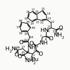 CCC(C)C(C(=O)C(=O)NCC(=O)NC(Cc1ccc2ccccc2c1)C(N)=O)C(CC(N)=O)(NC(=O)Cc1ccccc1)C(N)=O